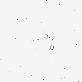 CC=C(NCc1ccc(Cl)c(Cl)c1)NC(=O)/C(NCCOCCOCCOCCCC)=C(\C)C=N